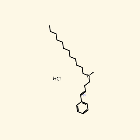 CCCCCCCCCCCCN(C)CC/C=C/c1ccccc1.Cl